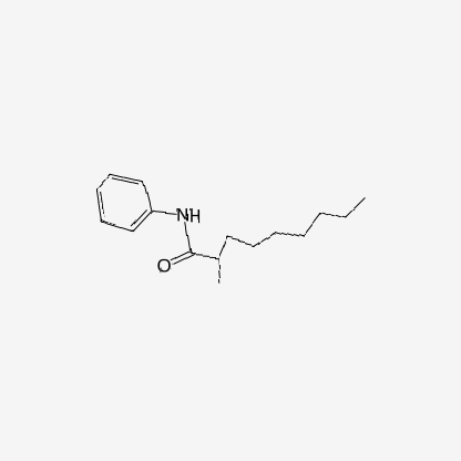 CCCCCCCC(C)C(=O)Nc1ccccc1